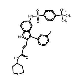 CC(C)(C)c1ccc(S(=O)(=O)Nc2ccc3[nH]c(C=CC(=O)NC4CCOCC4)c(-c4cccc(F)c4)c3c2)cc1